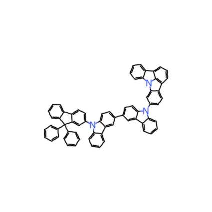 c1ccc(C2(c3ccccc3)c3ccccc3-c3ccc(-n4c5ccccc5c5cc(-c6ccc7c(c6)c6ccccc6n7-c6ccc7c8cccc9c%10ccccc%10n(c7c6)c98)ccc54)cc32)cc1